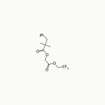 CC(C)CC(C)(C)C(=O)OCC(=O)OCC(F)(F)F